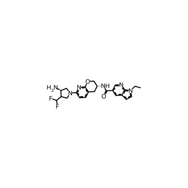 CCn1ccc2cc(C(=O)N[C@H]3COc4nc(N5CC(C(F)F)[C@@H](N)C5)ccc4C3)cnc21